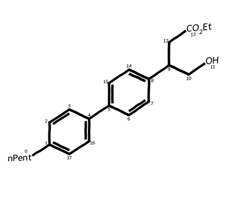 CCCCCc1ccc(-c2ccc(C(CO)CC(=O)OCC)cc2)cc1